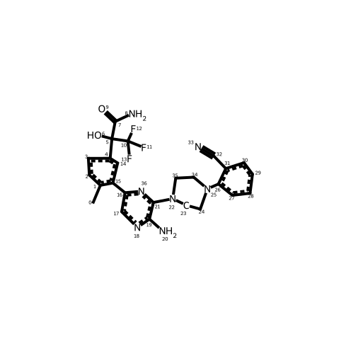 Cc1ccc(C(O)(C(N)=O)C(F)(F)F)cc1-c1cnc(N)c(N2CCN(c3ccccc3C#N)CC2)n1